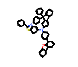 c1ccc(-c2nc3cc(N(c4ccc(-c5cccc6c5oc5ccccc56)cc4)c4ccc5c(c4)C(c4ccccc4)(c4ccccc4)c4ccccc4-5)ccc3s2)cc1